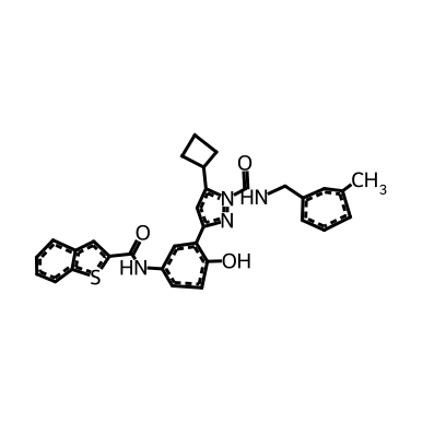 Cc1cccc(CNC(=O)n2nc(-c3cc(NC(=O)c4cc5ccccc5s4)ccc3O)cc2C2CCC2)c1